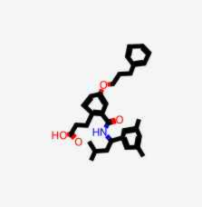 Cc1cc(C)cc(C(CC(C)C)NC(=O)c2cc(OCCCc3ccccc3)ccc2CCC(=O)O)c1